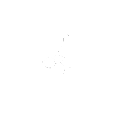 CCC(C)n1nc(NCCN)c2cnc(Cl)cc21